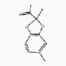 C=C(C)C1(F)Oc2ccc(C)cc2O1